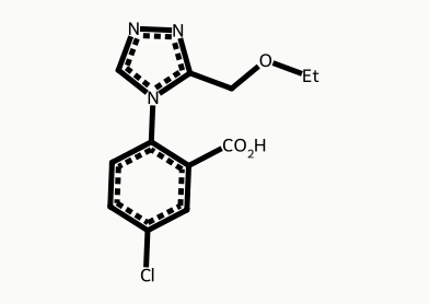 CCOCc1nncn1-c1ccc(Cl)cc1C(=O)O